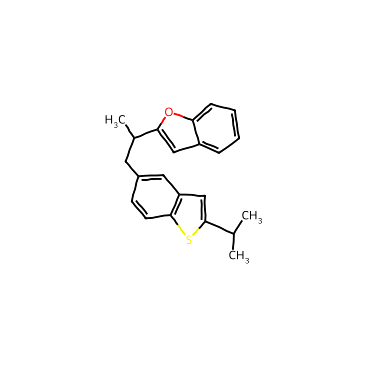 CC(C)c1cc2cc(CC(C)c3cc4ccccc4o3)ccc2s1